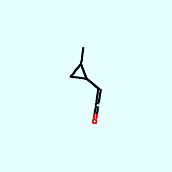 CC1CC1C=C=O